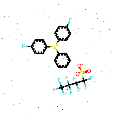 Fc1ccc([S+](c2ccccc2)c2ccc(F)cc2)cc1.O=S(=O)([O-])C(F)(F)C(F)(F)C(F)(F)C(F)(F)F